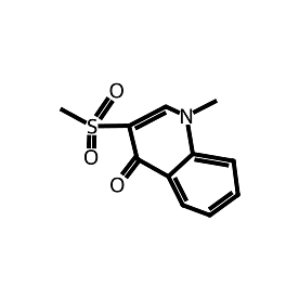 Cn1cc(S(C)(=O)=O)c(=O)c2ccccc21